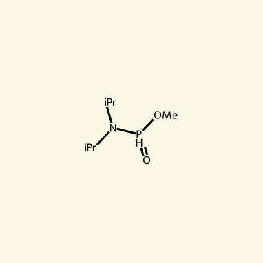 CO[PH](=O)N(C(C)C)C(C)C